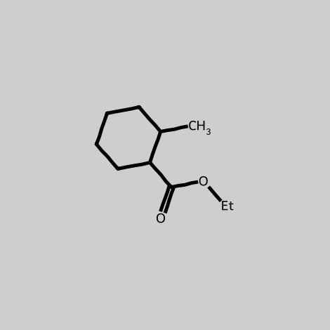 CCOC(=O)C1CCCC[C]1C